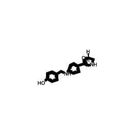 Oc1ccc(CNc2ccc(C3O[C@@H]4CNC3C4)cc2)cc1